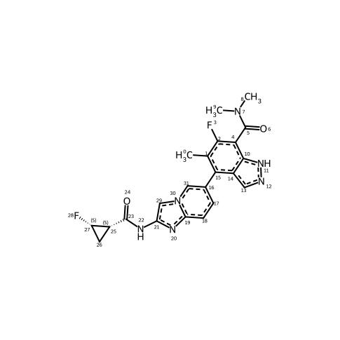 Cc1c(F)c(C(=O)N(C)C)c2[nH]ncc2c1-c1ccc2nc(NC(=O)[C@@H]3C[C@@H]3F)cn2c1